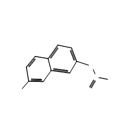 Cc1ccc2ccc(OS(=O)O)cc2c1